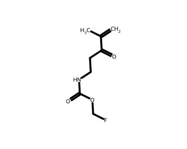 C=C(C)C(=O)CCNC(=O)OCF